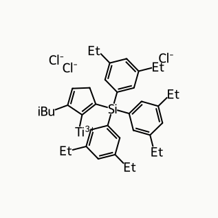 CCc1cc(CC)cc([Si](C2=[C]([Ti+3])C(C(C)CC)=CC2)(c2cc(CC)cc(CC)c2)c2cc(CC)cc(CC)c2)c1.[Cl-].[Cl-].[Cl-]